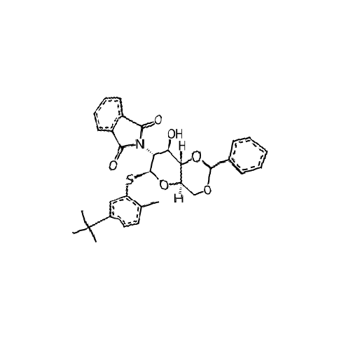 Cc1ccc(C(C)(C)C)cc1S[C@@H]1O[C@@H]2COC(c3ccccc3)O[C@H]2[C@H](O)[C@H]1N1C(=O)c2ccccc2C1=O